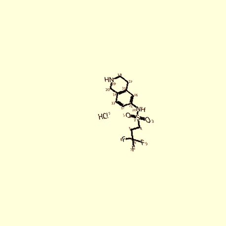 Cl.O=S(=O)(CCC(F)(F)F)Nc1ccc2c(c1)CCNC2